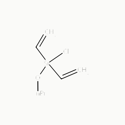 C=C[Si](Cl)(C=C)OCCC